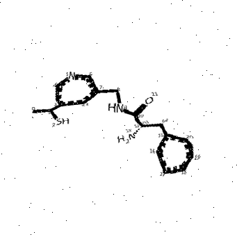 CC(S)c1cncc(CNC(=O)[C@@H](N)Cc2ccccc2)c1